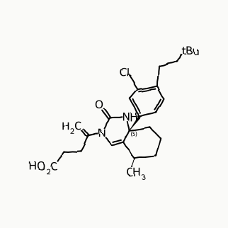 C=C(CCC(=O)O)N1C=C2C(C)CCC[C@@]2(c2ccc(CCC(C)(C)C)c(Cl)c2)NC1=O